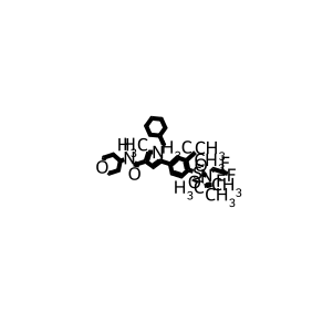 Cc1c(C(=O)NC2CCOCC2)cc(-c2ccc(S(=O)(=O)N(CC(F)(F)F)C(C)(C)C)c(C(C)(C)C)c2)n1CC1CCCCC1